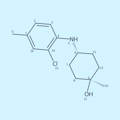 Cc1ccc(N[C@H]2CC[C@](C)(O)CC2)c(Cl)c1